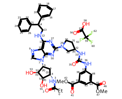 CCC(=O)N[C@H]1C[C@@H](n2cnc3c(NCC(c4ccccc4)c4ccccc4)nc(N4CC[C@@H](NC(=O)Nc5cc(C(=O)OC)cc(C(=O)OC)c5)C4)nc32)[C@H](O)[C@@H]1O.O=C(O)C(F)(F)F